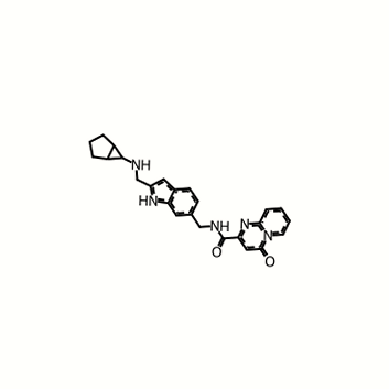 O=C(NCc1ccc2cc(CNC3C4CCCC43)[nH]c2c1)c1cc(=O)n2ccccc2n1